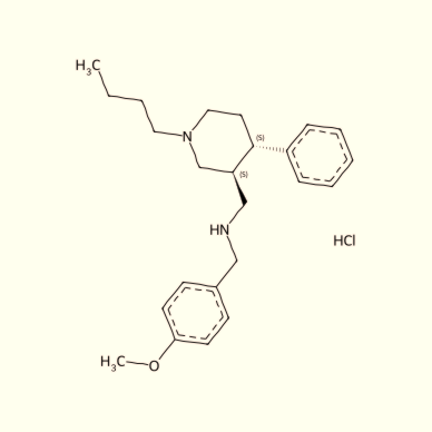 CCCCN1CC[C@H](c2ccccc2)[C@@H](CNCc2ccc(OC)cc2)C1.Cl